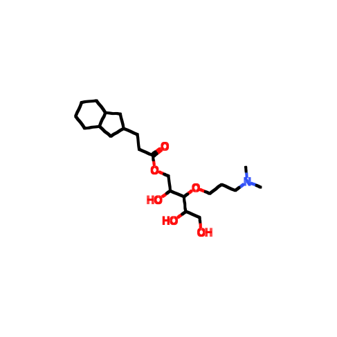 CN(C)CCCOC(C(O)CO)C(O)COC(=O)CCC1CC2CCCCC2C1